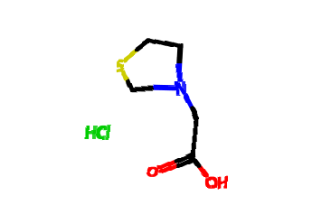 Cl.O=C(O)CN1CCSC1